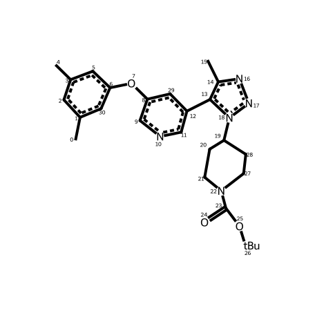 Cc1cc(C)cc(Oc2cncc(-c3c(C)nnn3C3CCN(C(=O)OC(C)(C)C)CC3)c2)c1